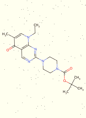 CCn1cc(C)c(=O)c2cnc(N3CCN(C(=O)OC(C)(C)C)CC3)nc21